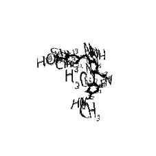 CNCc1cc(C)c(-c2nc3c(-c4ccc(C(C)(C)O)nc4)n[nH]c3cc2C#N)c(F)c1